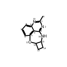 Cc1nc2c3c(cccc3n1)OC1CCC1N2